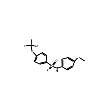 CSc1ccc(NS(=O)(=O)c2ccc(OC(F)(F)F)cc2)cc1